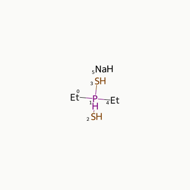 CC[PH](S)(S)CC.[NaH]